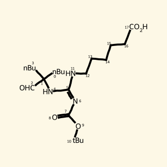 CCCCC(C=O)(CCCC)N/C(=N\C(=O)OC(C)(C)C)NCCCCCC(=O)O